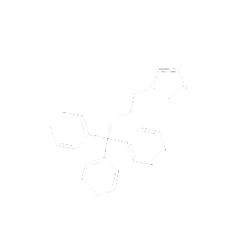 Brc1cn(CCOC(c2ccccc2)(c2ccccc2)c2ccccc2)cn1